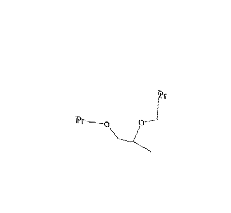 [CH2]C(C)OCC(C)OCC(C)C